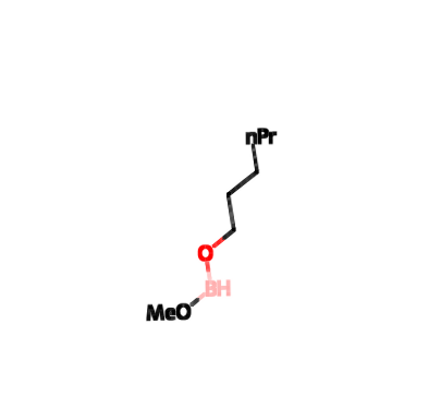 CCCCCCOBOC